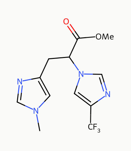 COC(=O)C(Cc1cn(C)cn1)n1cnc(C(F)(F)F)c1